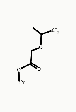 CCCOC(=O)COC(C)C(F)(F)F